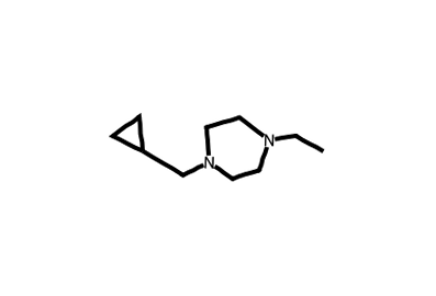 CCN1CCN(CC2CC2)CC1